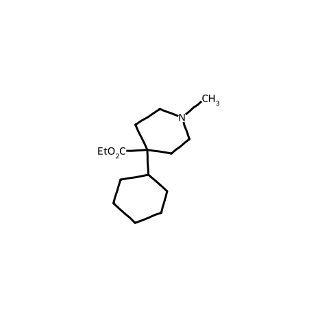 CCOC(=O)C1(C2CCCCC2)CCN(C)CC1